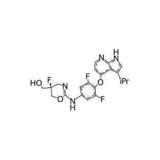 CC(C)c1c[nH]c2nccc(Oc3c(F)cc(NC4=NC[C@@](F)(CO)CO4)cc3F)c12